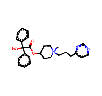 C[N+]1(CCCc2ccncn2)CCC(OC(=O)C(O)(c2ccccc2)c2ccccc2)CC1